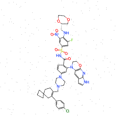 O=C(NS(=O)(=O)c1cc(F)c(NC[C@H]2COCCO2)c([N+](=O)[O-])c1)c1ccc(N2CCN(CC3=C(c4ccc(Cl)cc4)CC4(CCC4)CC3)CC2)cc1N1CCOc2nc3[nH]ccc3cc21